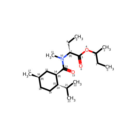 CCC(C)OC(=O)[C@@H](CC)N(C)C(=O)[C@@H]1C[C@H](C)CC[C@H]1C(C)C